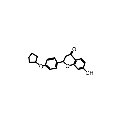 O=C1CC(c2ccc(OC3CCCC3)cc2)Oc2cc(O)ccc21